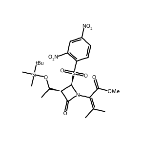 COC(=O)C(=C(C)C)N1C(=O)[C@@H](C(C)O[Si](C)(C)C(C)(C)C)[C@H]1S(=O)(=O)c1ccc([N+](=O)[O-])cc1[N+](=O)[O-]